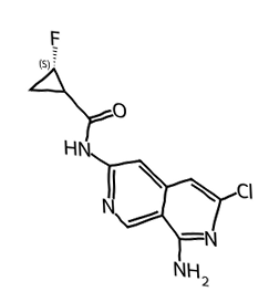 Nc1nc(Cl)cc2cc(NC(=O)C3C[C@@H]3F)ncc12